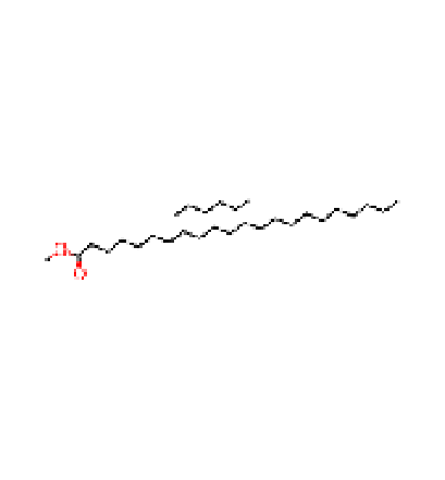 CCCCCC.CCCCCCCCCCCCCCCCCCCCCC(=O)OC